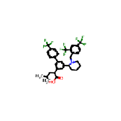 CC(C)CC(C(=O)O)c1cc(-c2ccc(C(F)(F)F)cc2)cc(C2CCCCN2Cc2ccc(C(F)(F)F)cc2C(F)(F)F)c1